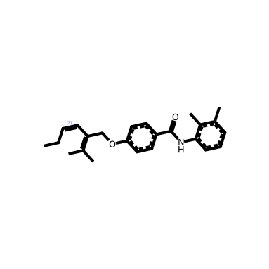 CC/C=C\C(COc1ccc(C(=O)Nc2cccc(C)c2C)cc1)=C(C)C